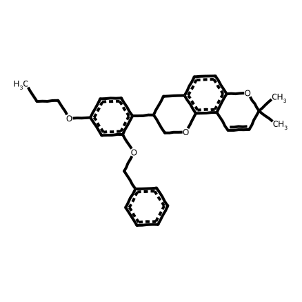 CCCOc1ccc(C2COc3c(ccc4c3C=CC(C)(C)O4)C2)c(OCc2ccccc2)c1